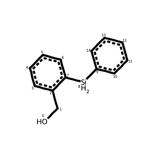 OCc1ccccc1[SiH2]c1ccccc1